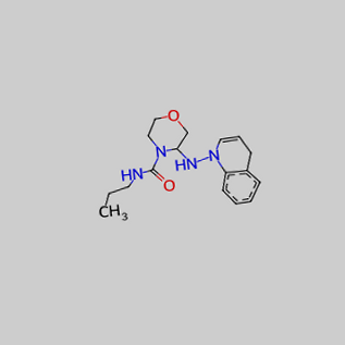 CCCNC(=O)N1CCOCC1NN1C=CCc2ccccc21